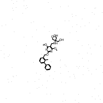 COc1nc(OCc2cccc(-c3ccccc3)c2C)nc(OC)c1CNC(CO)(CO)CO